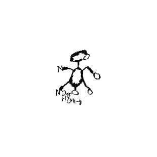 N#Cc1c(C#N)c(-c2ccco2)c(C=O)c(C=O)c1OB(O)O